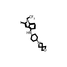 FC(F)(F)Cn1c(I)cc2c(N[C@H]3CC[C@H](N4CC5(COC5)C4)CC3)cccc21